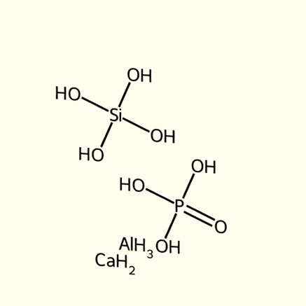 O=P(O)(O)O.O[Si](O)(O)O.[AlH3].[CaH2]